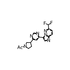 CC(=O)N1CCC(c2cc(-c3cnc4ccc(C(F)F)nn34)ncn2)C1